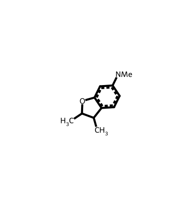 CNc1ccc2c(c1)OC(C)C2C